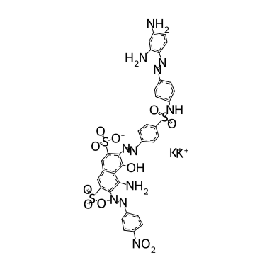 Nc1ccc(N=Nc2ccc(NS(=O)(=O)c3ccc(N=Nc4c(S(=O)(=O)[O-])cc5cc(S(=O)(=O)[O-])c(N=Nc6ccc([N+](=O)[O-])cc6)c(N)c5c4O)cc3)cc2)c(N)c1.[K+].[K+]